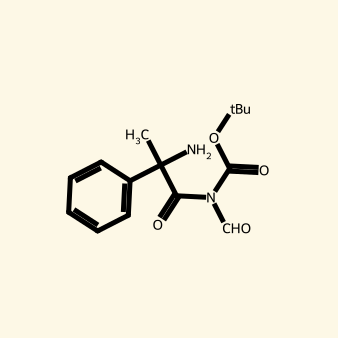 CC(C)(C)OC(=O)N(C=O)C(=O)C(C)(N)c1ccccc1